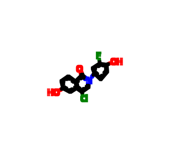 O=c1c2ccc(O)cc2c(Cl)cn1-c1ccc(O)c(F)c1